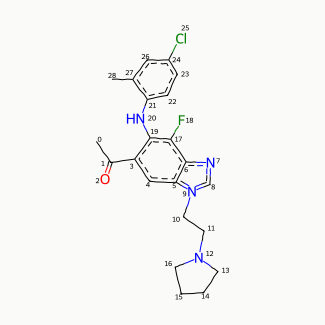 CC(=O)c1cc2c(ncn2CCN2CCCC2)c(F)c1Nc1ccc(Cl)cc1C